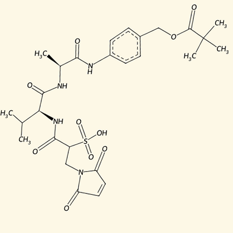 CC(C)[C@H](NC(=O)C(CN1C(=O)C=CC1=O)S(=O)(=O)O)C(=O)N[C@@H](C)C(=O)Nc1ccc(COC(=O)C(C)(C)C)cc1